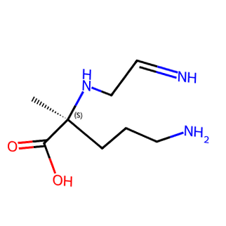 C[C@@](CCCN)(NCC=N)C(=O)O